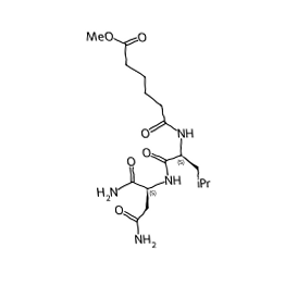 COC(=O)CCCCC(=O)N[C@@H](CC(C)C)C(=O)N[C@@H](CC(N)=O)C(N)=O